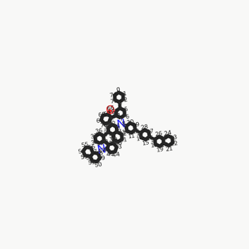 c1ccc(-c2ccc(N(c3ccc(-c4ccc(-c5ccc6ccccc6c5)cc4)cc3)c3ccc(-c4cccc5c4c4ccccc4n5-c4cccc5ccccc45)c4ccccc34)c3c2oc2ccccc23)cc1